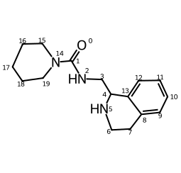 O=C(NCC1NCCc2ccccc21)N1CCCCC1